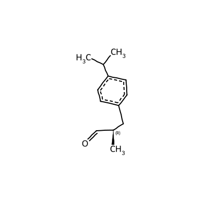 CC(C)c1ccc(C[C@@H](C)C=O)cc1